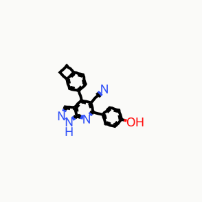 N#Cc1c(-c2ccc(O)cc2)nc2[nH]ncc2c1-c1ccc2c(c1)CC2